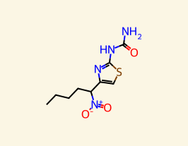 CCCCC(c1csc(NC(N)=O)n1)[N+](=O)[O-]